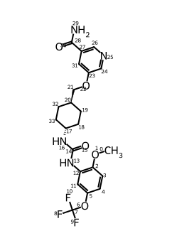 COc1ccc(OC(F)(F)F)cc1NC(=O)N[C@H]1CC[C@H](COc2cncc(C(N)=O)c2)CC1